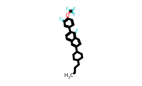 CCCCC1CCC(c2ccc3c(F)c(-c4ccc(OC(F)(F)F)c(F)c4)ccc3c2)CC1